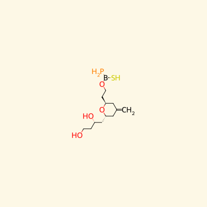 C=C1C[C@H](C[C@@H](O)CCO)O[C@@H](CCOB(P)S)C1